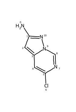 Nc1cc2cc(Cl)ncn2n1